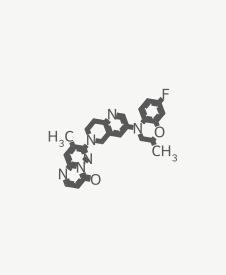 Cc1cc2nccc(=O)n2nc1N1CCc2ncc(N3CC(C)Oc4cc(F)ccc43)cc2C1